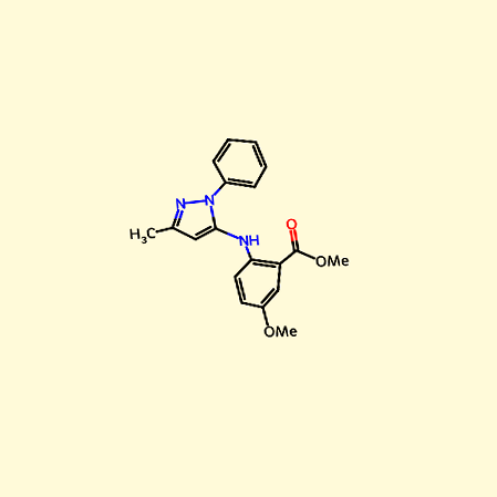 COC(=O)c1cc(OC)ccc1Nc1cc(C)nn1-c1ccccc1